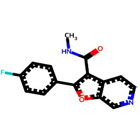 CNC(=O)c1c(-c2ccc(F)cc2)oc2cn[c]cc12